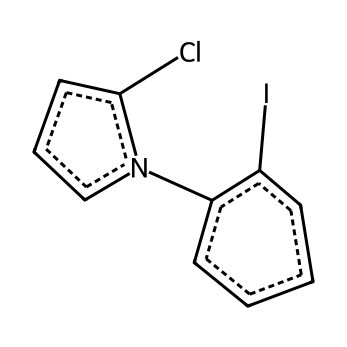 Clc1cccn1-c1ccccc1I